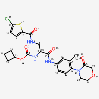 O=C(N[C@@H](CNC(=O)c1ccc(Cl)s1)C(=O)Nc1ccc(N2CCOCC2=O)c(C(F)(F)F)c1)OC1CCC1